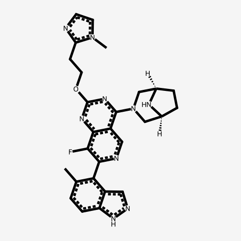 Cc1ccc2[nH]ncc2c1-c1ncc2c(N3C[C@H]4CC[C@@H](C3)N4)nc(OCCc3nccn3C)nc2c1F